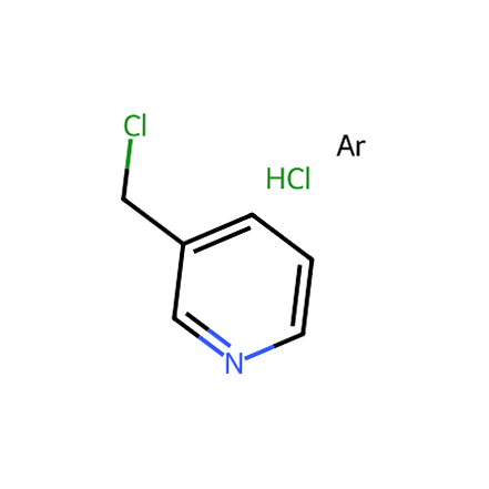 Cl.ClCc1cccnc1.[Ar]